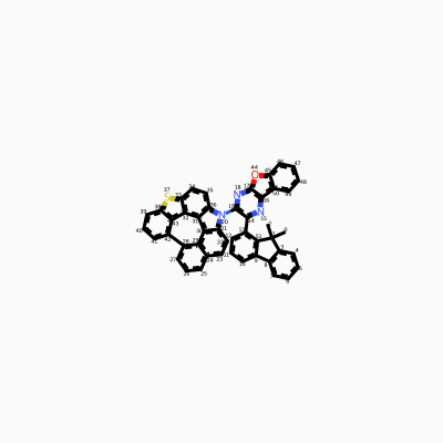 CC1(C)c2ccccc2-c2cccc(-c3nc4c(nc3-n3c5ccc6cccc7c6c5c5c6c(ccc53)sc3cccc-7c36)oc3ccccc34)c21